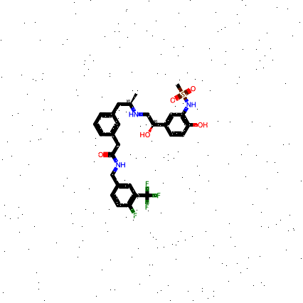 C[C@H](Cc1cccc(CC(=O)NCc2ccc(F)c(C(F)(F)F)c2)c1)NC[C@H](O)c1ccc(O)c(NS(C)(=O)=O)c1